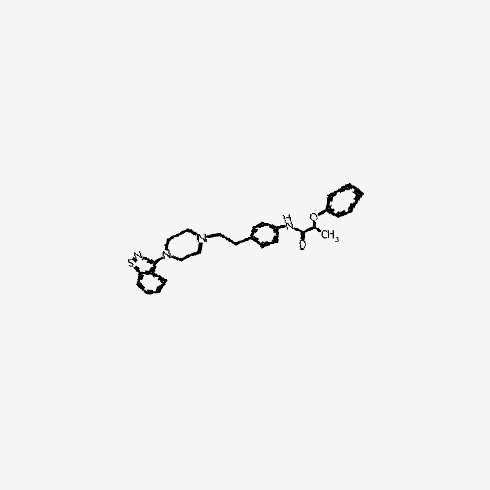 CC(Oc1ccccc1)C(=O)Nc1ccc(CCN2CCN(c3nsc4ccccc34)CC2)cc1